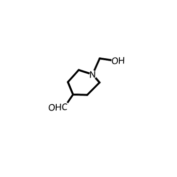 O=CC1CCN(CO)CC1